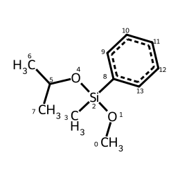 CO[Si](C)(OC(C)C)c1ccccc1